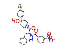 O=C(NC(=Cc1ccccc1)C(=O)N1CCC(O)(c2ccc(Br)cc2)CC1)c1cccc([N+](=O)[O-])c1